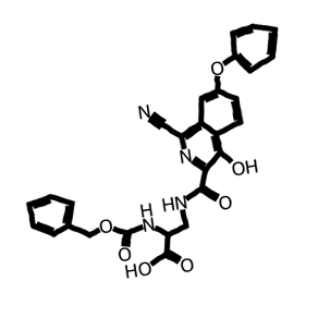 N#Cc1nc(C(=O)NCC(NC(=O)OCc2ccccc2)C(=O)O)c(O)c2ccc(Oc3ccccc3)cc12